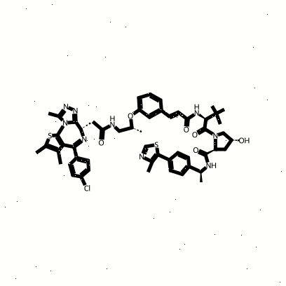 Cc1ncsc1-c1ccc([C@H](C)NC(=O)[C@@H]2C[C@@H](O)CN2C(=O)[C@@H](NC(=O)/C=C/c2cccc(O[C@H](C)CNC(=O)C[C@@H]3N=C(c4ccc(Cl)cc4)c4c(sc(C)c4C)-n4c(C)nnc43)c2)C(C)(C)C)cc1